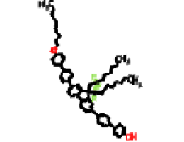 CCCCCCCCOc1ccc(-c2ccc(-c3ccc4c(c3)C(CC(F)(F)CCCCCC)(C(F)(F)CCCCCCC)c3cc(-c5ccc(-c6ccc(O)cc6)cc5)ccc3-4)cc2)cc1